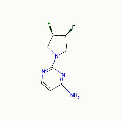 Nc1ccnc(N2C[C@@H](F)[C@@H](F)C2)n1